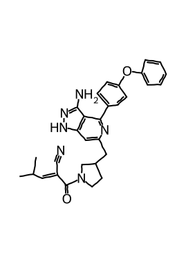 CC(C)C=C(C#N)C(=O)N1CCC(Cc2cc3[nH]nc(N)c3c(-c3ccc(Oc4ccccc4)cc3)n2)C1